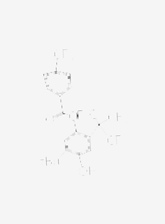 CC(C)(C)c1cc(OC(=O)c2ccc(C(F)(F)F)cc2)c(C(C(F)(F)F)(C(F)(F)F)C(F)(F)F)cc1O